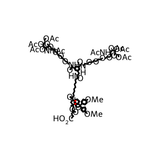 COc1ccc(C(OCC2(C)CN(C(=O)CCCCCCCCC(=O)NCc3cc(C(=O)NCCOCCOCCOCCOC4O[C@H](COC(C)=O)[C@H](OC(C)=O)[C@H](OC(C)=O)C4NC(C)=O)cc(C(=O)NCCOCCOCCOCCOC4O[C@H](COC(C)=O)[C@H](OC(C)=O)[C@H](OC(C)=O)C4NC(C)=O)c3)CC2(C)COC(=O)CCC(=O)O)(c2ccccc2)c2ccc(OC)cc2)cc1